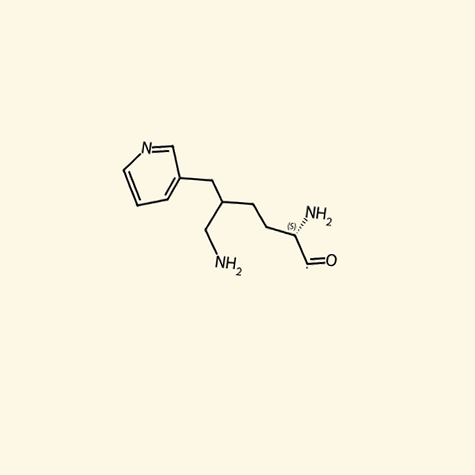 NCC(CC[C@H](N)[C]=O)Cc1cccnc1